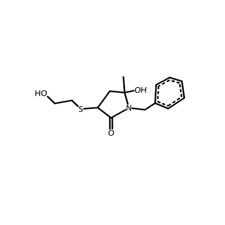 CC1(O)CC(SCCO)C(=O)N1Cc1ccccc1